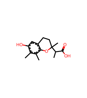 Cc1c(O)cc2c(c1C)OC(C)(C(C)C(=O)O)CC2